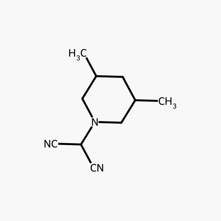 CC1CC(C)CN(C(C#N)C#N)C1